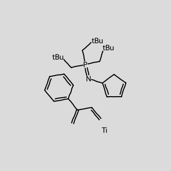 C=CC(=C)c1ccccc1.CC(C)(C)CP(CC(C)(C)C)(CC(C)(C)C)=NC1=CC=CC1.[Ti]